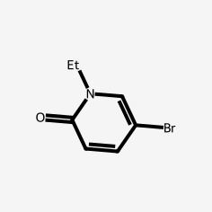 CCn1cc(Br)ccc1=O